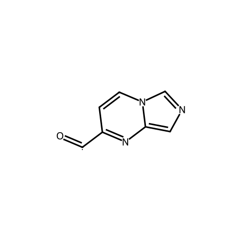 O=[C]c1ccn2cncc2n1